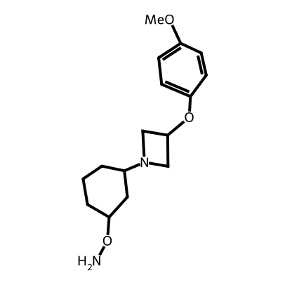 COc1ccc(OC2CN(C3CCCC(ON)C3)C2)cc1